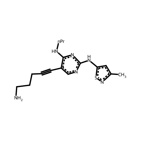 CCCNc1nc(Nc2cc(C)ns2)ncc1C#CCCCN